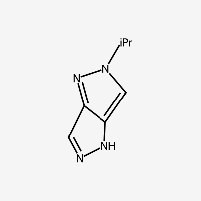 CC(C)n1cc2[nH]ncc2n1